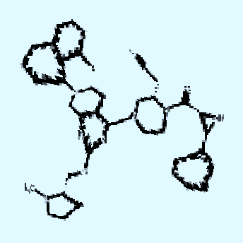 CN1CCC[C@H]1COc1nc2c(c(N3CCN(C(=O)[C@H]4N[C@H]4c4ccccc4)[C@@H](CC#N)C3)n1)CCN(c1cccc3cccc(Cl)c13)C2